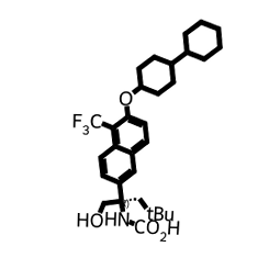 CC(C)(C)C[C@@](CO)(NC(=O)O)c1ccc2c(C(F)(F)F)c(OC3CCC(C4CCCCC4)CC3)ccc2c1